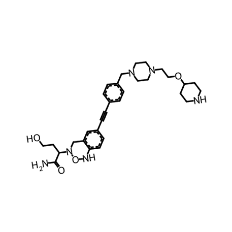 NC(=O)C(CCO)N1Cc2cc(C#Cc3ccc(CN4CCN(CCOC5CCNCC5)CC4)cc3)ccc2NO1